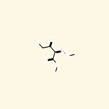 CON=C(C(=O)CBr)C(=O)SC